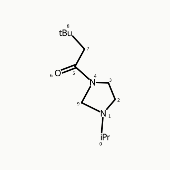 CC(C)N1CCN(C(=O)CC(C)(C)C)C1